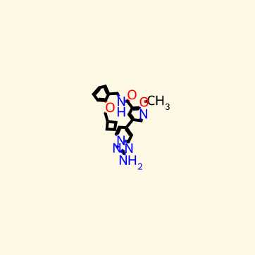 COc1ncc(-c2ccn3nc(N)nc3c2)cc1C(=O)NCc1ccccc1OCC1CCC1